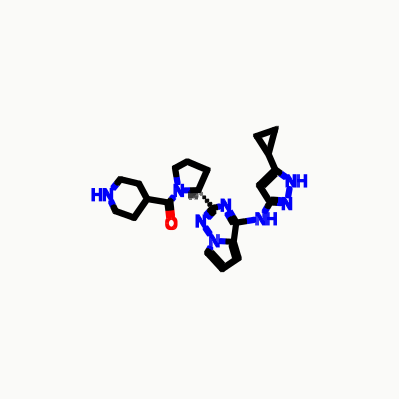 O=C(C1CCNCC1)N1CCC[C@@H]1c1nc(Nc2cc(C3CC3)[nH]n2)c2cccn2n1